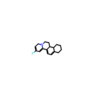 FC1=CCN2CCC3C(=CC=C4CCCCC43)C2=C1